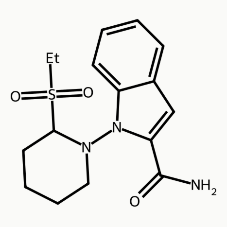 CCS(=O)(=O)C1CCCCN1n1c(C(N)=O)cc2ccccc21